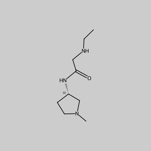 CCNCC(=O)N[C@H]1CCN(C)C1